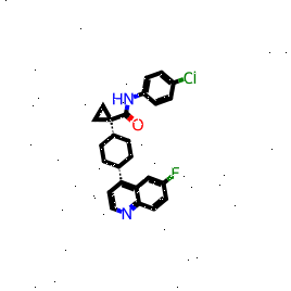 O=C(Nc1ccc(Cl)cc1)C1([C@H]2CC[C@@H](c3ccnc4ccc(F)cc43)CC2)CC1